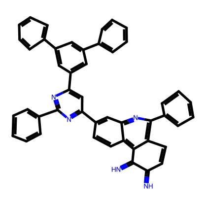 N=C1C=Cc2c(-c3ccccc3)nc3cc(-c4cc(-c5cc(-c6ccccc6)cc(-c6ccccc6)c5)nc(-c5ccccc5)n4)ccc3c2C1=N